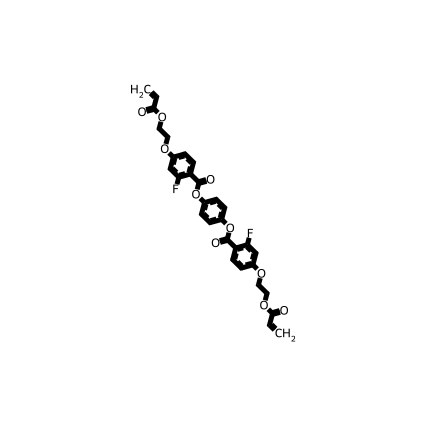 C=CC(=O)OCCOc1ccc(C(=O)Oc2ccc(OC(=O)c3ccc(OCCOC(=O)C=C)cc3F)cc2)c(F)c1